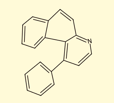 c1ccc(-c2ccnc3ccc4ccccc4c23)cc1